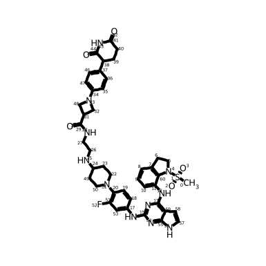 CS(=O)(=O)N1CCc2cccc(Nc3nc(Nc4ccc(N5CCC(NCCNC(=O)C6CN(c7ccc(C8CCC(=O)NC8=O)cc7)C6)CC5)c(F)c4)nc4[nH]ccc34)c21